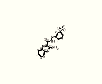 CS(=O)(=O)c1cccc(CNC(=O)c2nc3ccccc3nc2N)c1